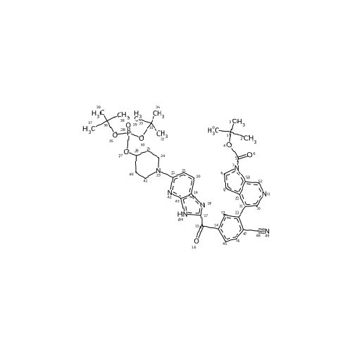 CC(C)(C)OC(=O)n1ccc2c(-c3cc(C(=O)c4nc5ccc(N6CCC(OP(=O)(OC(C)(C)C)OC(C)(C)C)CC6)nc5[nH]4)ccc3C#N)cncc21